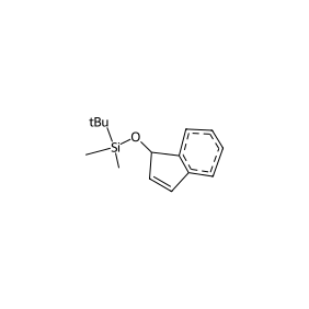 CC(C)(C)[Si](C)(C)OC1C=Cc2ccccc21